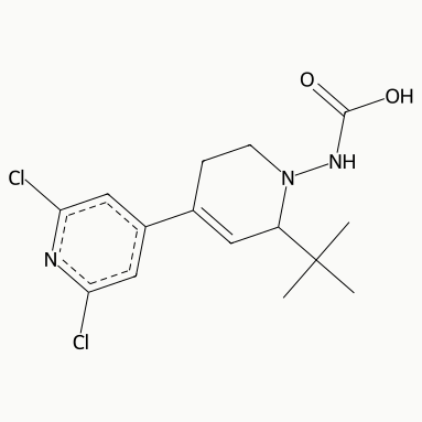 CC(C)(C)C1C=C(c2cc(Cl)nc(Cl)c2)CCN1NC(=O)O